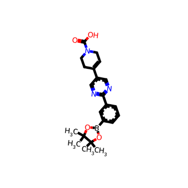 CC1(C)OB(c2cccc(-c3ncc(C4=CCN(C(=O)O)CC4)cn3)c2)OC1(C)C